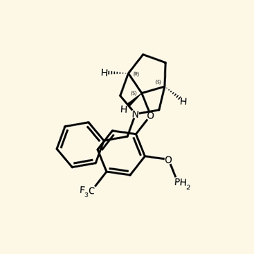 FC(F)(F)c1ccc(O[C@@H]2[C@@H]3CC[C@H]2CN(Cc2ccccc2)C3)c(OP)c1